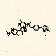 Cc1cc(N(C)Cc2ccc(-c3ccn(C)n3)cc2)n2nc(C)c(-c3cnc(N(C)C)cc3C)c2n1